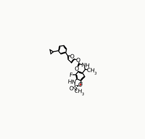 CC(NC(=O)Oc1ccc(-c2cccc(C3CC3)c2)o1)c1cc(F)c(NS(C)(=O)=O)c(F)c1